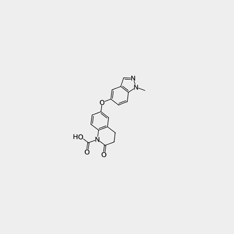 Cn1ncc2cc(Oc3ccc4c(c3)CCC(=O)N4C(=O)O)ccc21